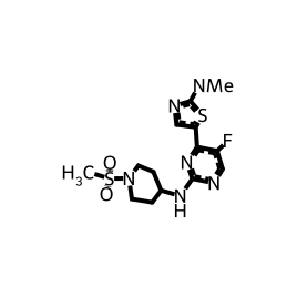 CNc1ncc(-c2nc(NC3CCN(S(C)(=O)=O)CC3)ncc2F)s1